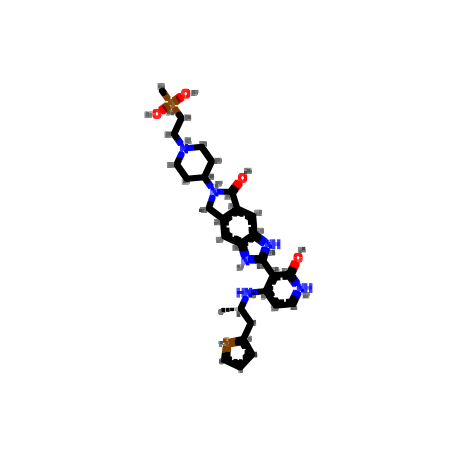 C[C@@H](Cc1cccs1)Nc1cc[nH]c(=O)c1-c1nc2cc3c(cc2[nH]1)C(=O)N(C1CCN(CCS(C)(=O)=O)CC1)C3